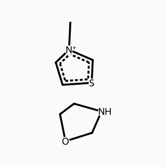 C1COCN1.C[n+]1ccsc1